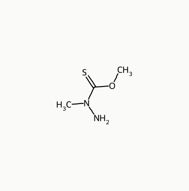 COC(=S)N(C)N